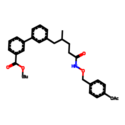 CC(=O)Oc1ccc(CONC(=O)CCC(C)Cc2cccc(-c3cccc(C(=O)OC(C)(C)C)c3)c2)cc1